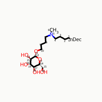 CCCCCCCCCCCCCCN(C)CCCCO[C@@H]1O[C@H](CO)[C@@H](O)[C@H](O)[C@H]1O